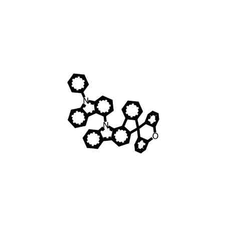 c1ccc(-n2c3ccccc3c3c(-n4c5ccccc5c5ccc6c(c54)-c4ccccc4C64c5ccccc5Oc5ccccc54)cccc32)cc1